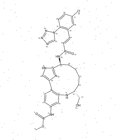 COC(=O)Nc1ccc2c(c1)N[C@@H](CO)CCCC[C@H](NC(=O)C=Cc1cc(Cl)ccc1-n1cnnn1)c1nc-2c[nH]1